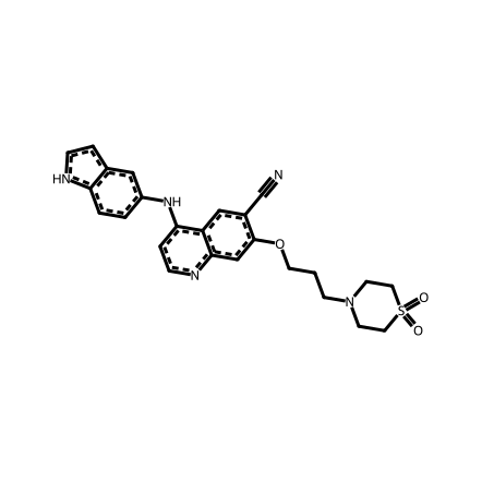 N#Cc1cc2c(Nc3ccc4[nH]ccc4c3)ccnc2cc1OCCCN1CCS(=O)(=O)CC1